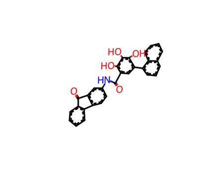 O=C1c2ccccc2-c2ccc(NC(=O)c3cc(-c4cccc5ccccc45)c(O)c(O)c3O)cc21